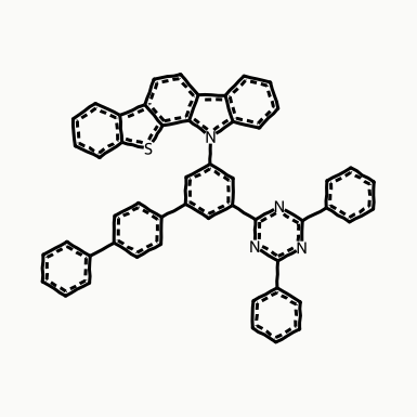 c1ccc(-c2ccc(-c3cc(-c4nc(-c5ccccc5)nc(-c5ccccc5)n4)cc(-n4c5ccccc5c5ccc6c7ccccc7sc6c54)c3)cc2)cc1